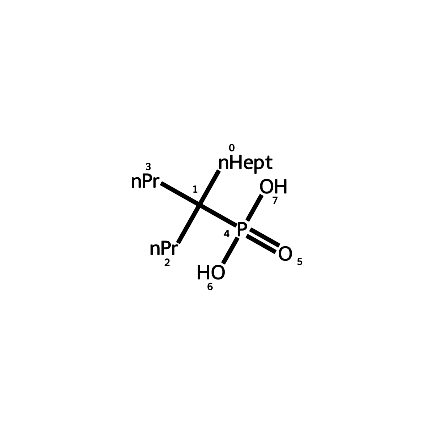 CCCCCCCC(CCC)(CCC)P(=O)(O)O